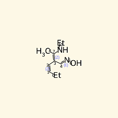 CC\C=C/C(/C=N/O)=C(\C)NCC